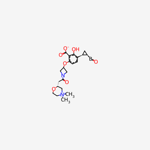 C[N+]1(C)CCO[C@H](CC(=O)N2CC(Oc3ccc([C@H]4C[C@H]4B=O)c(O)c3C(=O)[O-])C2)C1